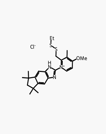 CCSSCc1c(C)c(OC)cc[n+]1-c1nc2cc3c(cc2[nH]1)C(C)(C)CC3(C)C.[Cl-]